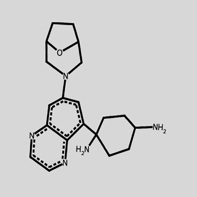 NC1CCC(N)(c2cc(N3CC4CCC(C3)O4)cc3nccnc23)CC1